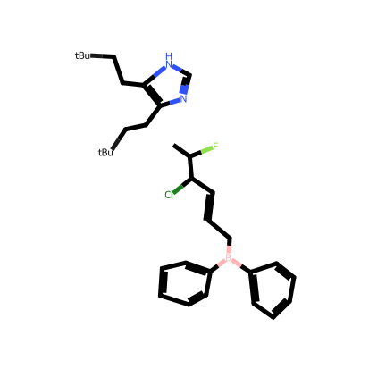 CC(C)(C)CCc1nc[nH]c1CCC(C)(C)C.CC(F)C(Cl)C=CCB(c1ccccc1)c1ccccc1